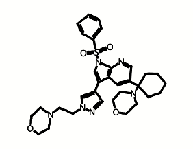 O=S(=O)(c1ccccc1)n1cc(-c2cnn(CCN3CCOCC3)c2)c2cc(C3(N4CCOCC4)CCCCC3)cnc21